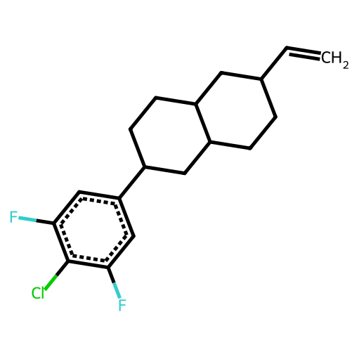 C=CC1CCC2CC(c3cc(F)c(Cl)c(F)c3)CCC2C1